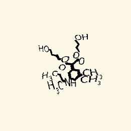 CCC(C)NC1=CC(=C(C(=O)OCCCCO)C(=O)OCCCCO)CC(C)(C)C1